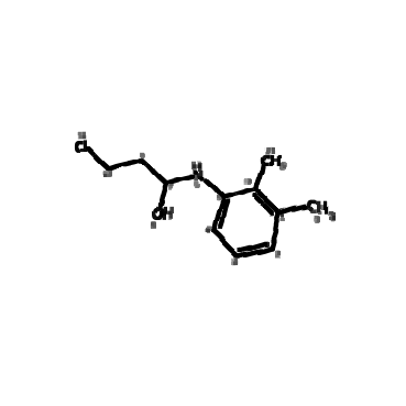 Cc1cccc(NC(O)CCCl)c1C